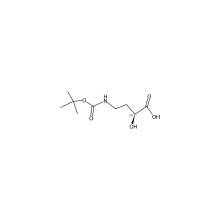 CC(C)(C)OC(=O)NCC[C@H](O)C(=O)O